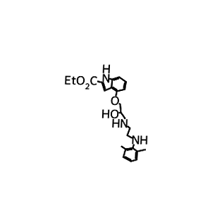 CCOC(=O)c1cc2c(OCC(O)CNCCNc3c(C)cccc3C)cccc2[nH]1